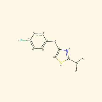 CC(C)c1nc(Cc2ccc(F)cc2)cs1